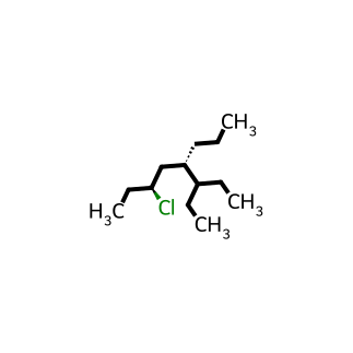 CCC[C@@H](C[C@@H](Cl)CC)C(CC)CC